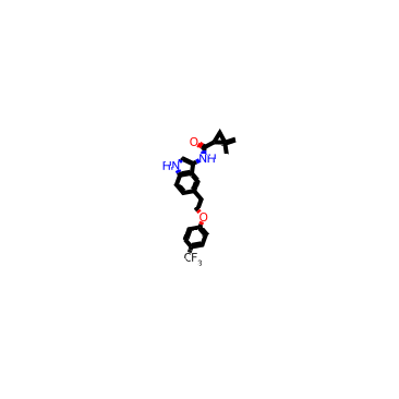 CC1(C)CC1C(=O)Nc1c[nH]c2ccc(CCOc3ccc(C(F)(F)F)cc3)cc12